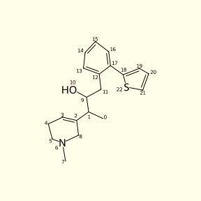 CC(C1=CCCN(C)C1)C(O)Cc1ccccc1-c1cccs1